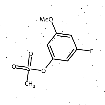 COc1cc(F)cc(OS(C)(=O)=O)c1